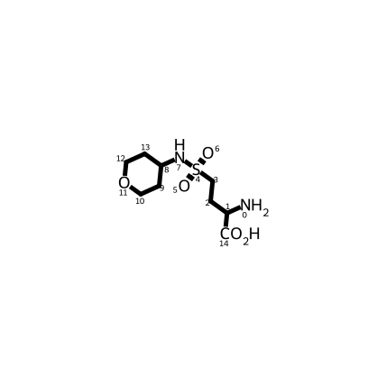 NC(CCS(=O)(=O)NC1CCOCC1)C(=O)O